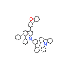 c1ccc(-c2ccccc2-c2ccccc2N(c2ccc(-c3ccc4oc5ccccc5c4c3)cc2)c2ccc3c(c2)-c2ccccc2C32c3ccccc3-n3c4ccccc4c4cccc2c43)cc1